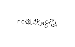 O=C(OC(CO)C(F)(F)F)N1CCC2(CC1)CC(Cn1cc(C(F)(F)F)cn1)CO2